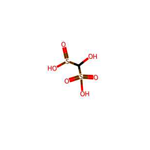 O=S(O)C(O)S(=O)(=O)O